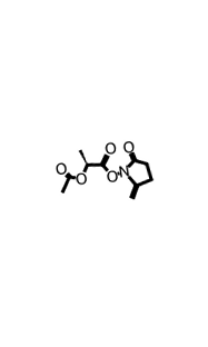 C=C1CCC(=O)N1OC(=O)[C@H](C)OC(C)=O